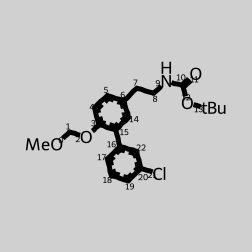 COCOc1ccc(CCNC(=O)OC(C)(C)C)cc1-c1cccc(Cl)c1